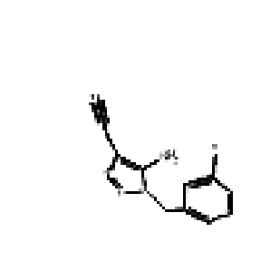 N#Cc1nnn(Cc2cccc(F)c2)c1N